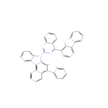 c1ccc2c(-c3cccc4c3oc3ccccc34)nc(-n3c4ccccc4c4c5ccccc5c5c6ccccc6sc5c43)nc2c1